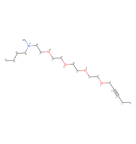 CCC#CCOCCOCCOCCOCCN(C)CCCC